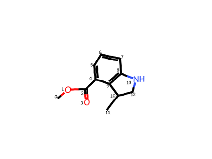 COC(=O)c1cccc2c1C(C)CN2